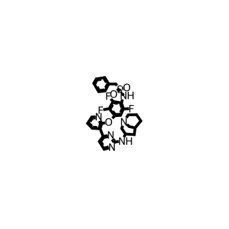 O=S(=O)(Cc1ccccc1)Nc1c(F)cc(Oc2ncccc2-c2ccnc(NC3CC4CCCN(C4)C3)n2)c(F)c1F